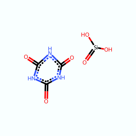 O=[Si](O)O.O=c1[nH]c(=O)[nH]c(=O)[nH]1